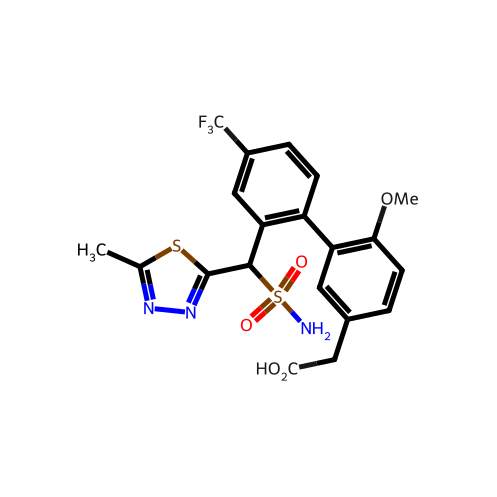 COc1ccc(CC(=O)O)cc1-c1ccc(C(F)(F)F)cc1C(c1nnc(C)s1)S(N)(=O)=O